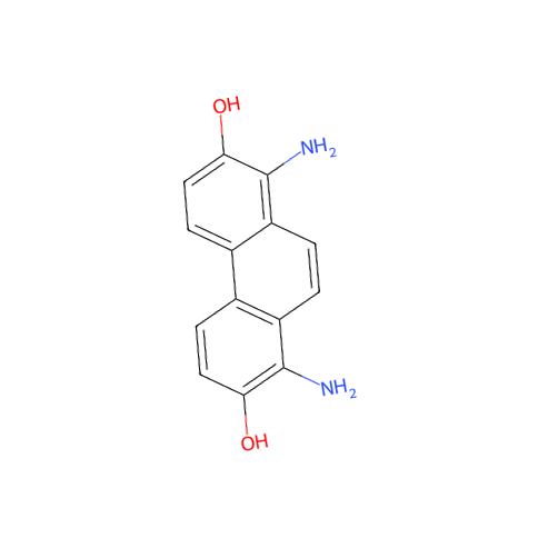 Nc1c(O)ccc2c1ccc1c(N)c(O)ccc12